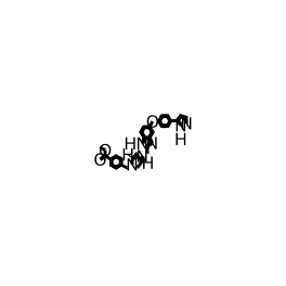 COC(=O)c1ccc(CN2C[C@@H]3C[C@H]2CN3Cc2nc3cc(Oc4ccc(-c5ccn[nH]5)cc4)ccc3[nH]2)cc1